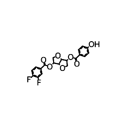 O=C(OC1COC2C(OC(=O)c3ccc(F)c(F)c3)COC12)c1ccc(O)cc1